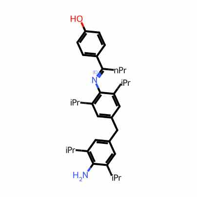 CCC/C(=N\c1c(C(C)C)cc(Cc2cc(C(C)C)c(N)c(C(C)C)c2)cc1C(C)C)c1ccc(O)cc1